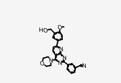 COc1ccc(-c2ccc3c(N4CCOCC4)nc(-c4cccc(C#N)c4)nc3n2)cc1CO